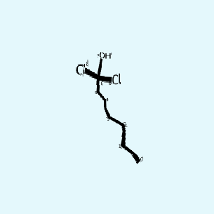 CCCCCCC(O)(Cl)Cl